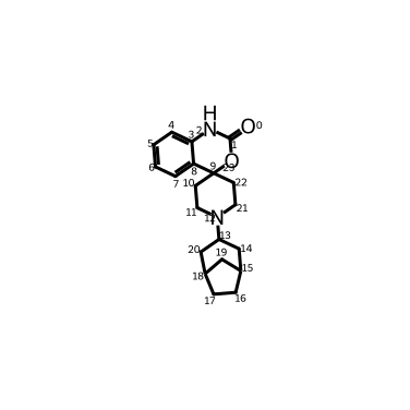 O=C1Nc2ccccc2C2(CCN(C3CC4CCC(C4)C3)CC2)O1